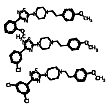 COc1ccc(CCN2CCN(c3nc(-c4cc(Cl)cc(Cl)c4)ns3)CC2)cc1.COc1ccc(CCN2CCN(c3nc(-c4cccc(Cl)c4)ns3)CC2)cc1.COc1ccc(CCN2CCN(c3nc(-c4ccccc4OC)ns3)CC2)cc1